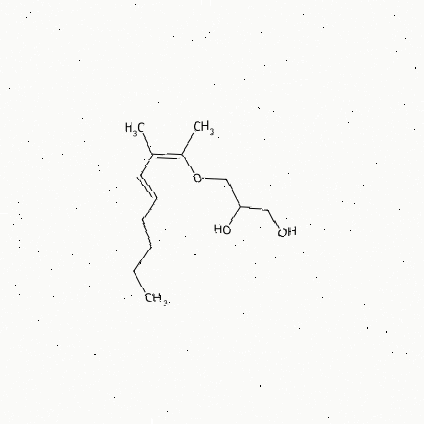 CCCCC=CC(C)=C(C)OCC(O)CO